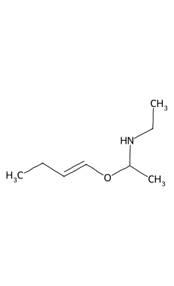 CCC=COC(C)NCC